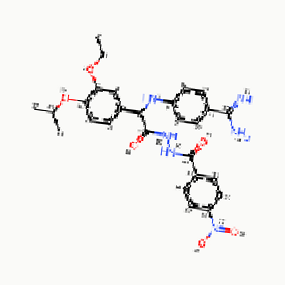 CCOc1cc(C(Nc2ccc(C(=N)N)cc2)C(=O)NNC(=O)c2ccc([N+](=O)[O-])cc2)ccc1OC(C)C